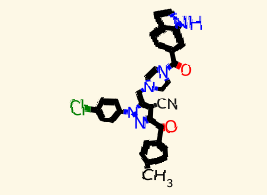 Cc1ccc(C(=O)c2nn(-c3ccc(Cl)cc3)c(CN3CCN(C(=O)c4ccc5cc[nH]c5c4)CC3)c2C#N)cc1